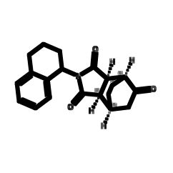 O=C1C[C@@H]2CC[C@H]1[C@@H]1C(=O)N(C3CCCc4ccccc43)C(=O)[C@H]21